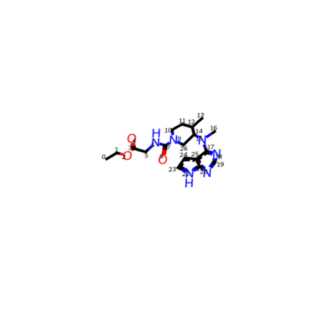 CCOC(=O)CNC(=O)N1CCC(C)C(N(C)c2ncnc3[nH]ccc23)C1